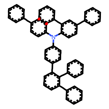 c1ccc(-c2ccc(N(c3ccc(-c4cccc(-c5ccccc5)c4-c4ccccc4)cc3)c3ccc(-c4ccccc4)cc3-c3ccccc3)cc2)cc1